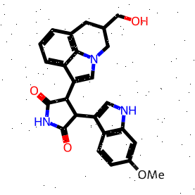 COc1ccc2c(C3C(=O)NC(=O)C3c3cn4c5c(cccc35)CC(CO)C4)c[nH]c2c1